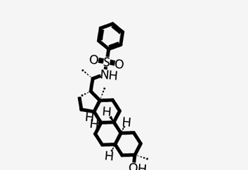 C[C@H](NS(=O)(=O)c1ccccc1)[C@H]1CC[C@H]2[C@@H]3CC[C@@H]4C[C@](C)(O)CC[C@@H]4[C@H]3CC[C@]12C